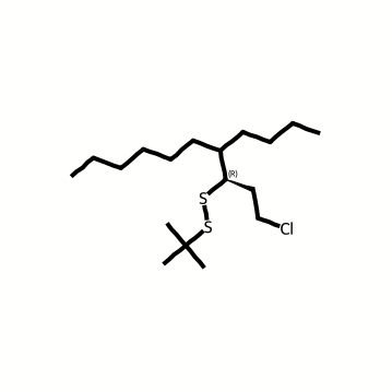 CCCCCCC(CCCC)[C@@H](CCCl)SSC(C)(C)C